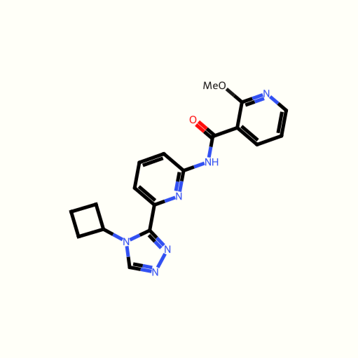 COc1ncccc1C(=O)Nc1cccc(-c2nncn2C2CCC2)n1